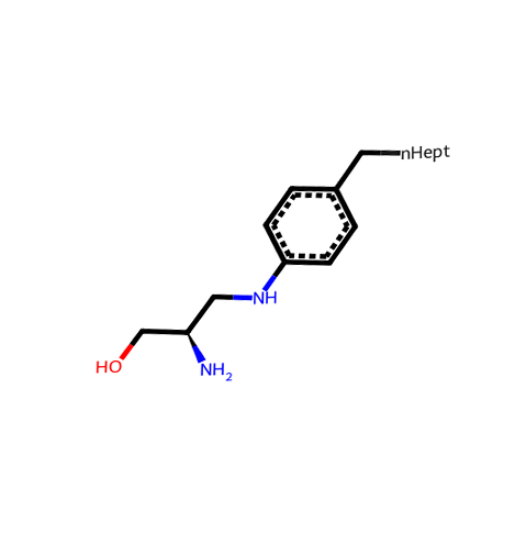 CCCCCCCCc1ccc(NC[C@@H](N)CO)cc1